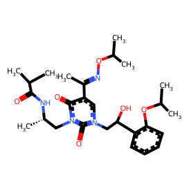 C/C(=N\OC(C)C)c1cn(CC(O)c2ccccc2OC(C)C)c(=O)n(C[C@H](C)NC(=O)C(C)C)c1=O